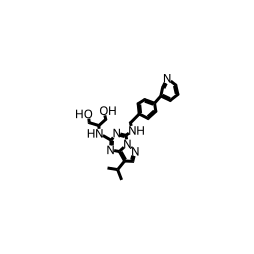 CC(C)c1cnn2c(NCc3ccc(-c4cccnc4)cc3)nc(NC(CO)CO)nc12